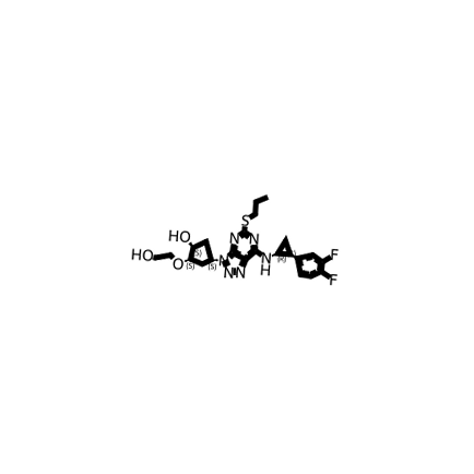 CCCSc1nc(N[C@@H]2C[C@H]2c2ccc(F)c(F)c2)c2nnn([C@@H]3C[C@H](OCCO)[C@@H](O)C3)c2n1